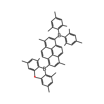 Cc1cc(C)c(B(c2c(C)cc(C)cc2C)c2cc(C)c3ccc4c(B(c5c(C)cc(C)cc5C)c5c(C)cc(C)cc5C)cc(C)c5ccc2c3c54)c(C)c1